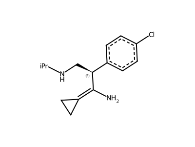 CC(C)NC[C@H](C(N)=C1CC1)c1ccc(Cl)cc1